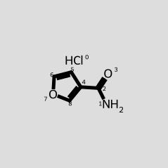 Cl.NC(=O)c1ccoc1